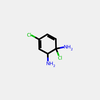 NC1C=C(Cl)C=CC1(N)Cl